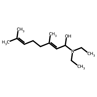 CCN(CC)C(O)/C=C(\C)CCC=C(C)C